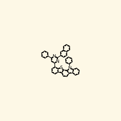 c1ccc(-c2cc(-c3cccc4c3sc3c4ccc4c5ccccc5n(-c5ccccc5)c43)nc(-c3ccc4ccccc4c3)n2)cc1